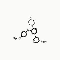 [C-]#[N+]c1cncc(-c2cnc(N3CCNCC3)c(Oc3ccc(OC)cc3)n2)c1